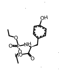 CCOP(=O)(N[C@@H](Cc1ccc(O)cc1)C(=O)O)OCC